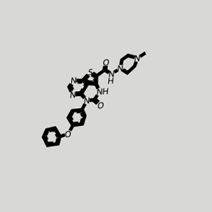 CN1CCN(NC(=O)c2sc3ncnc4c3c2NC(=O)N4c2ccc(Oc3ccccc3)cc2)CC1